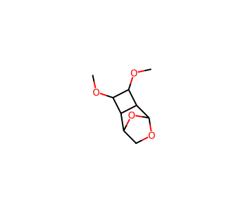 COC1C(OC)C2C3OCC(O3)C12